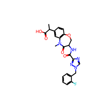 CC(C(=O)O)c1ccc2c(c1)N(C)C(=O)C(NC(=O)c1ncn(Cc3ccccc3F)n1)CO2